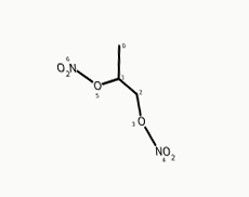 CC(CO[N+](=O)[O-])O[N+](=O)[O-]